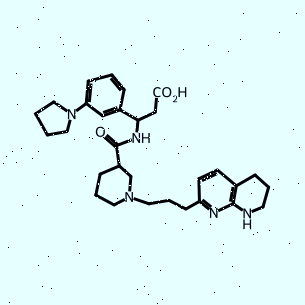 O=C(O)CC(NC(=O)C1CCCN(CCCc2ccc3c(n2)NCCC3)C1)c1cccc(N2CCCC2)c1